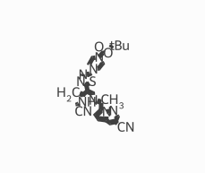 C=C(NCC#N)/C(=C\N=C(/C)c1ccc2cc(C#N)cnn12)c1nnc(N2CCN(C(=O)OC(C)(C)C)CC2)s1